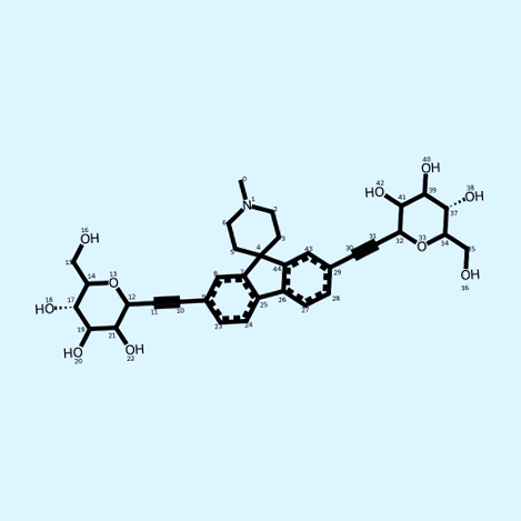 CN1CCC2(CC1)c1cc(C#CC3OC(CO)[C@@H](O)C(O)C3O)ccc1-c1ccc(C#CC3OC(CO)[C@@H](O)C(O)C3O)cc12